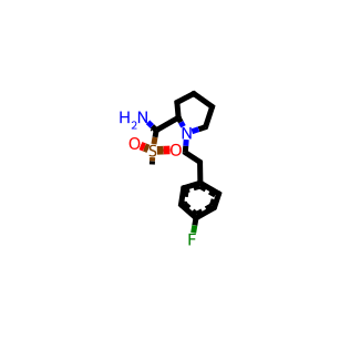 CS(=O)(=O)[C](N)C1CCCCN1CCc1ccc(F)cc1